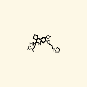 COc1cc2c3c(c(NCC(C)OC)nc2cc1OCCCN1CCCC1)CCC3